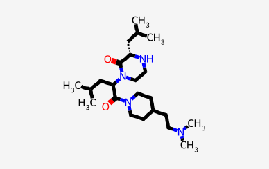 CC(C)CC(C(=O)N1CCC(CCN(C)C)CC1)N1CCN[C@@H](CC(C)C)C1=O